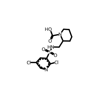 O=C(O)N1CCCCC1CNS(=O)(=O)c1cc(Cl)cnc1Cl